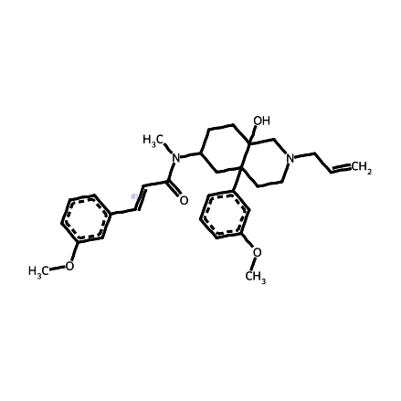 C=CCN1CCC2(c3cccc(OC)c3)CC(N(C)C(=O)/C=C/c3cccc(OC)c3)CCC2(O)C1